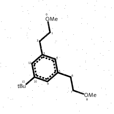 COCCc1[c]c(CCOC)cc(C(C)(C)C)c1